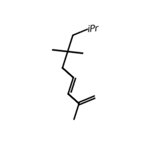 C=C(C)/C=C/CC(C)(C)CC(C)C